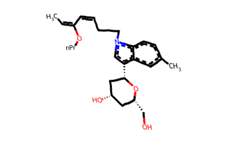 C/C=C(\C=C/CCn1cc([C@H]2C[C@@H](O)C[C@@H](CO)O2)c2cc(C)ccc21)OCCC